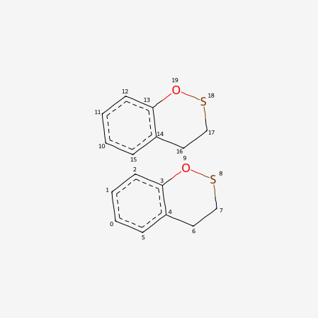 c1ccc2c(c1)CCSO2.c1ccc2c(c1)CCSO2